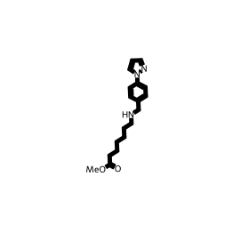 COC(=O)CCCCCCNCc1ccc(-n2cccn2)cc1